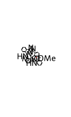 COc1ccc(-c2nnc3c4ccccc4c(Nc4cccc(C(=O)Nc5ccccc5OC)c4)nn23)cc1